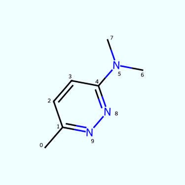 Cc1ccc(N(C)C)nn1